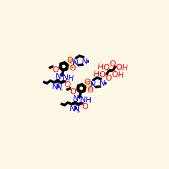 CCCc1nn(C)c2c(=O)[nH]c(-c3cc(S(=O)(=O)N4CCCN(C)CC4)ccc3OCC)nc12.CCCc1nn(C)c2c(=O)[nH]c(-c3cc(S(=O)(=O)N4CCCN(C)CC4)ccc3OCC)nc12.O=C(O)C(O)C(O)C(=O)O